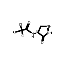 O=C1NNC[C@@H]1NC(=O)C(Cl)(Cl)Cl